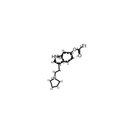 CCC(=O)Oc1ccc2c(CCN3CCCC3)c[nH]c2c1